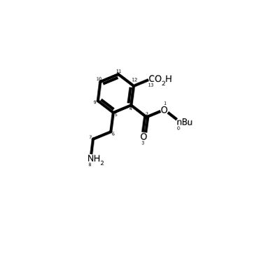 CCCCOC(=O)c1c(CCN)cccc1C(=O)O